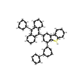 c1ccc(-c2cccc(-c3cc(-c4c5ccccc5c(-c5ccccc5)c5ccccc45)cc4c3sc3ccccc34)c2)cc1